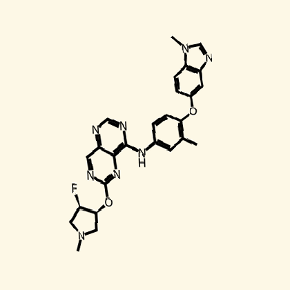 Cc1cc(Nc2ncnc3cnc(O[C@H]4CN(C)C[C@H]4F)nc23)ccc1Oc1ccc2c(c1)ncn2C